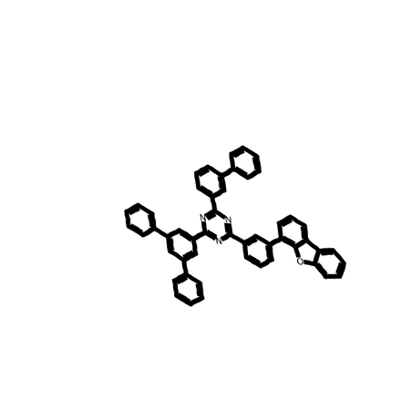 c1ccc(-c2cccc(-c3nc(-c4cc(-c5ccccc5)cc(-c5ccccc5)c4)nc(-c4cccc(-c5cccc6c5oc5ccccc56)c4)n3)c2)cc1